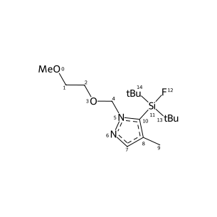 COCCOCn1ncc(C)c1[Si](F)(C(C)(C)C)C(C)(C)C